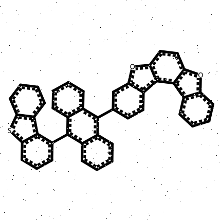 c1ccc2c(c1)oc1ccc3oc4cc(-c5c6ccccc6c(-c6cccc7sc8ccccc8c67)c6ccccc56)ccc4c3c12